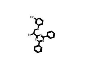 CCC(COc1cccc(O)c1)c1nc(-c2ccccc2)nc(-c2ccccc2)n1